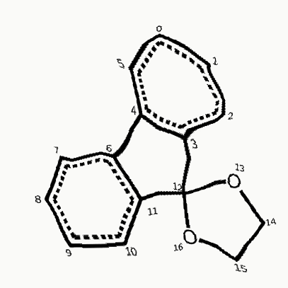 c1ccc2c(c1)-c1ccccc1C21OCCO1